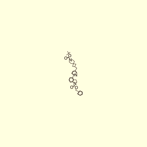 CC(C)(C)OC(=O)N1CCC2(CC1)CC(Cc1ccc(-c3cccc4c3CCN4C(=O)OCc3ccccc3)nc1)C2